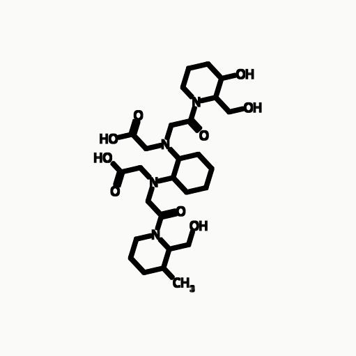 CC1CCCN(C(=O)CN(CC(=O)O)C2CCCCC2N(CC(=O)O)CC(=O)N2CCCC(O)C2CO)C1CO